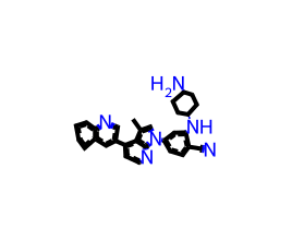 Cc1cn(-c2ccc(C#N)c(N[C@H]3CC[C@H](N)CC3)c2)c2nccc(-c3cnc4ccccc4c3)c12